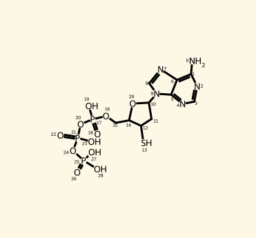 Nc1ncnc2c1ncn2C1CC(S)C(COP(=O)(O)OP(=O)(O)OP(=O)(O)O)O1